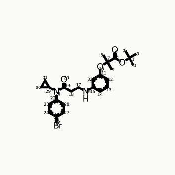 CC(C)(C)OC(=O)C(C)(C)Oc1cccc(NCCC(=O)N(c2ccc(Br)cc2)C2CC2)c1